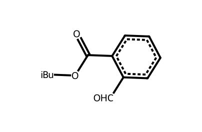 CCC(C)OC(=O)c1ccccc1C=O